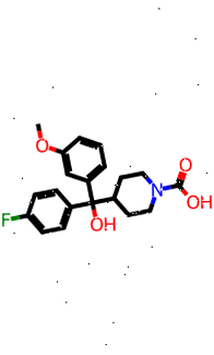 COc1cccc(C(O)(c2ccc(F)cc2)C2CCN(C(=O)O)CC2)c1